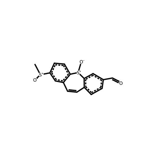 C[S+]([O-])c1ccc2c(c1)C=Cc1ccc(C=O)cc1[S+]2[O-]